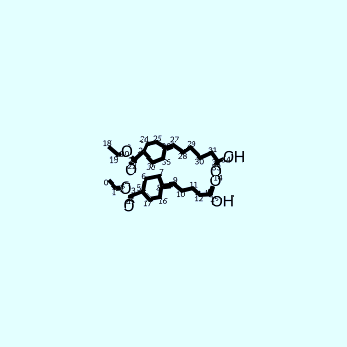 CCOC(=O)C1CCC(=CCCCC(=O)O)CC1.CCOC(=O)C1CCC(=CCCCCC(=O)O)CC1